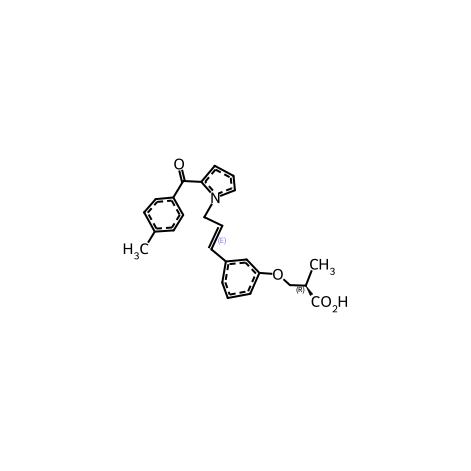 Cc1ccc(C(=O)c2cccn2C/C=C/c2cccc(OC[C@@H](C)C(=O)O)c2)cc1